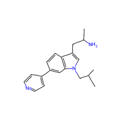 CC(C)Cn1cc(CC(C)N)c2ccc(-c3ccncc3)cc21